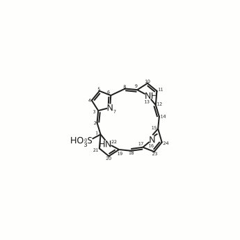 O=S(=O)(O)C12C=C3C=CC(=N3)C=c3ccc([nH]3)=CC3=NC(=CC(=CC1)N2)C=C3